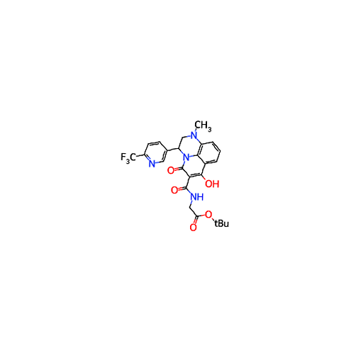 CN1CC(c2ccc(C(F)(F)F)nc2)n2c(=O)c(C(=O)NCC(=O)OC(C)(C)C)c(O)c3cccc1c32